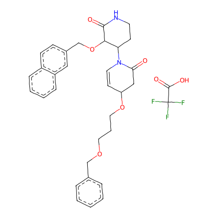 O=C(O)C(F)(F)F.O=C1NCCC(N2C=CC(OCCCOCc3ccccc3)CC2=O)C1OCc1ccc2ccccc2c1